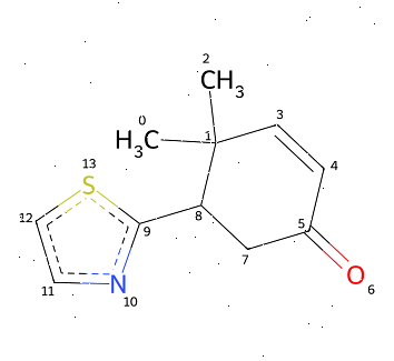 CC1(C)C=CC(=O)CC1c1nccs1